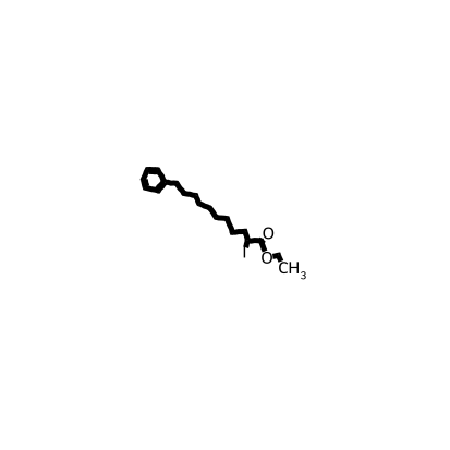 CCOC(=O)C(I)CCCCCCCCCc1ccccc1